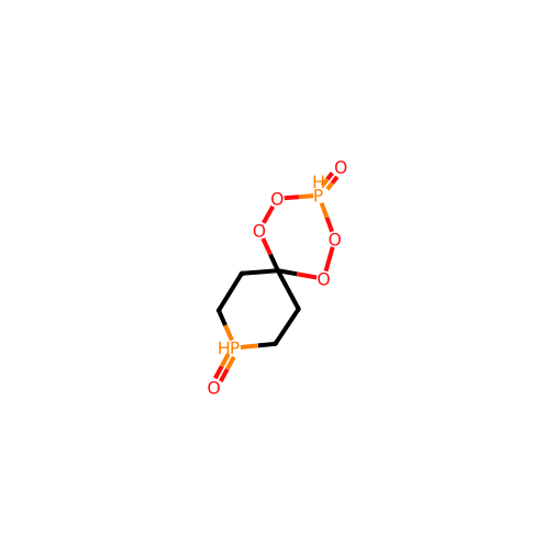 O=[PH]1CCC2(CC1)OO[PH](=O)OO2